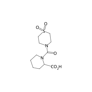 O=C(O)C1CCCCN1C(=O)N1CCS(=O)(=O)CC1